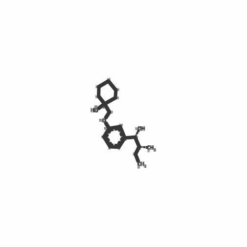 CC[C@@H](C)[C@@H](O)c1cccc(OCC2(O)CCCCC2)c1